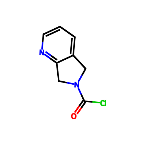 O=C(Cl)N1Cc2cccnc2C1